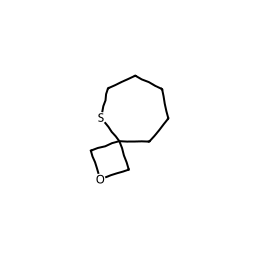 C1CCSC2(CC1)COC2